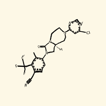 Cc1c(N2C[C@@H]3CN(c4cc(Cl)ncn4)CCN3C2=O)ccc(C#N)c1C(F)(F)F